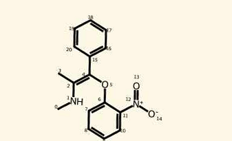 CNC(C)=C(Oc1ccccc1[N+](=O)[O-])c1ccccc1